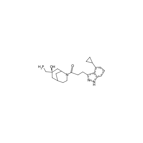 O=C(CCc1n[nH]c2cccc(C3CC3)c12)N1CCC2CC1C[C@@](O)(CP)C2